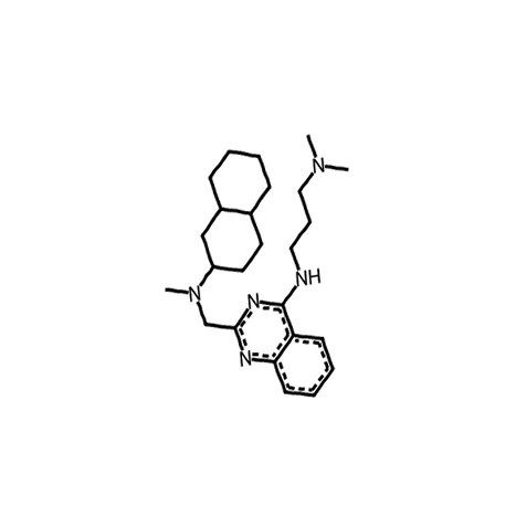 CN(C)CCCNc1nc(CN(C)C2CCC3CCCCC3C2)nc2ccccc12